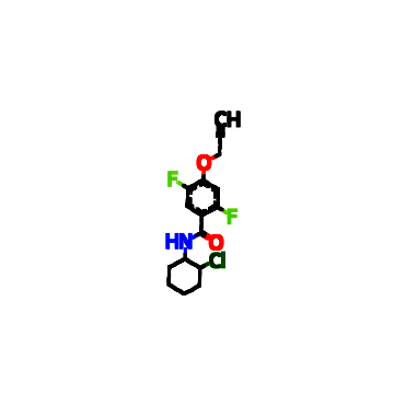 C#CCOc1cc(F)c(C(=O)NC2CCCCC2Cl)cc1F